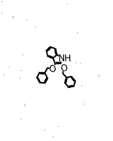 c1ccc(COc2[nH]c3ccccc3c2OCc2ccccc2)cc1